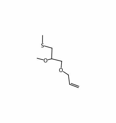 C=CCOCC(CSC)OC